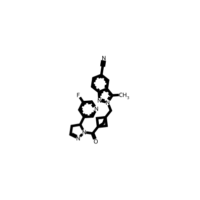 Cc1c2cc(C#N)ccc2nn1CC12CC(C(=O)N3N=CCC3c3cncc(F)c3)(C1)C2